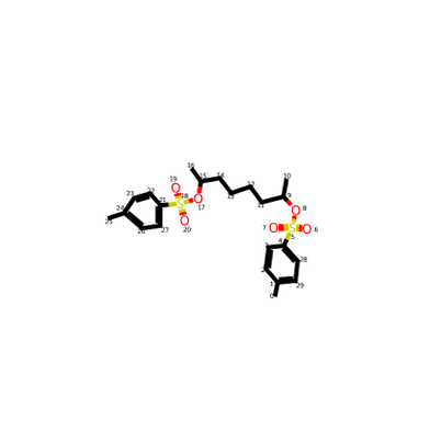 Cc1ccc(S(=O)(=O)OC(C)CCCCC(C)OS(=O)(=O)c2ccc(C)cc2)cc1